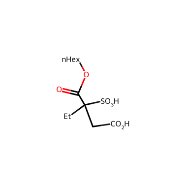 CCCCCCOC(=O)C(CC)(CC(=O)O)S(=O)(=O)O